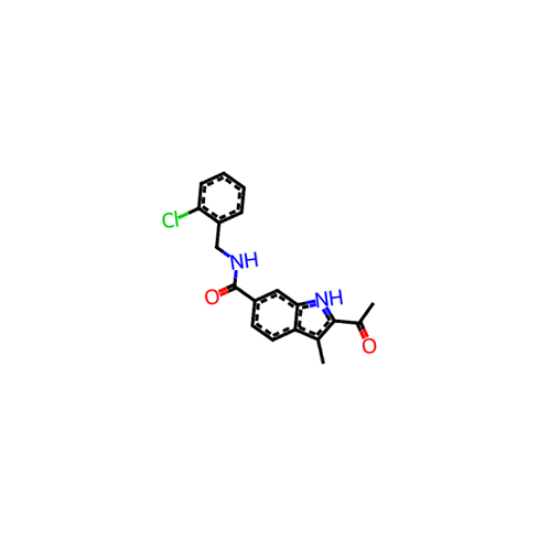 CC(=O)c1[nH]c2cc(C(=O)NCc3ccccc3Cl)ccc2c1C